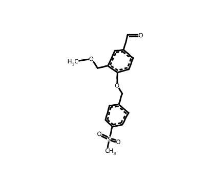 COCc1cc(C=O)ccc1OCc1ccc(S(C)(=O)=O)cc1